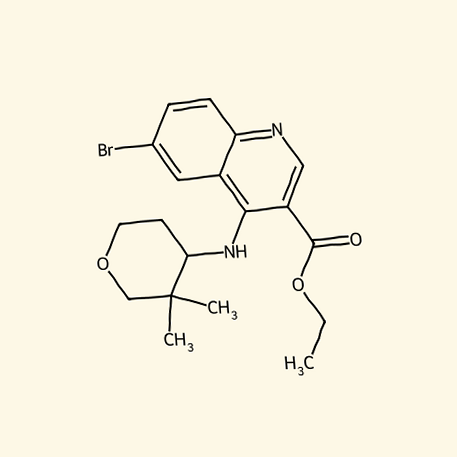 CCOC(=O)c1cnc2ccc(Br)cc2c1NC1CCOCC1(C)C